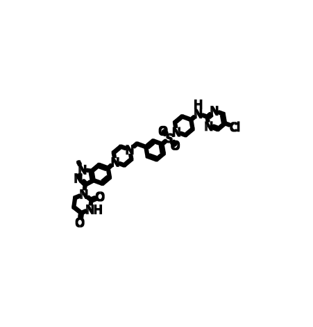 Cn1nc(N2CCC(=O)NC2=O)c2ccc(N3CCN(Cc4cccc(S(=O)(=O)N5CCC(Nc6ncc(Cl)cn6)CC5)c4)CC3)cc21